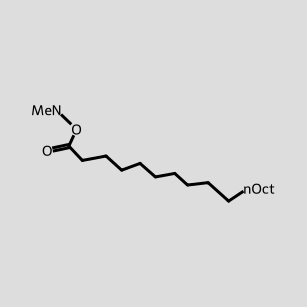 CCCCCCCCCCCCCCCCCC(=O)ONC